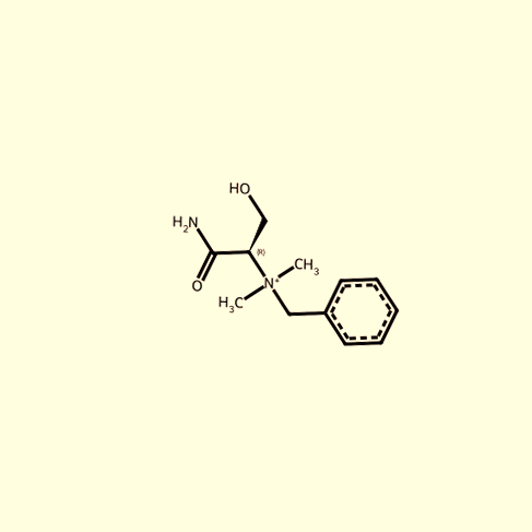 C[N+](C)(Cc1ccccc1)[C@H](CO)C(N)=O